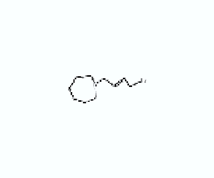 [Li][CH2]C=CCN1CCCCCC1